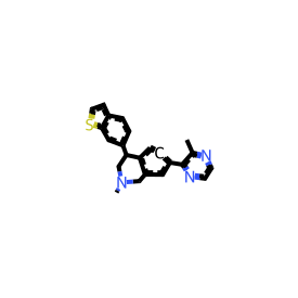 Cc1nccnc1-c1ccc2c(c1)CN(C)CC2c1ccc2ccsc2c1